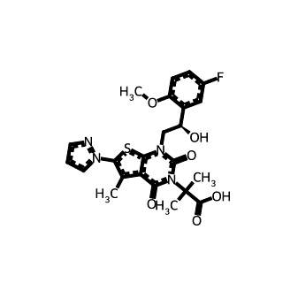 COc1ccc(F)cc1[C@@H](O)Cn1c(=O)n(C(C)(C)C(=O)O)c(=O)c2c(C)c(-n3cccn3)sc21